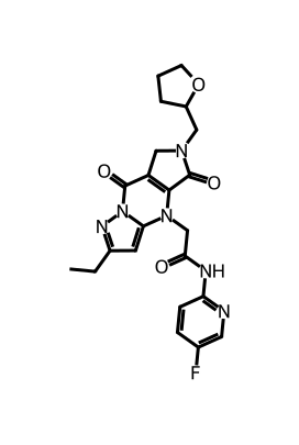 CCc1cc2n(CC(=O)Nc3ccc(F)cn3)c3c(c(=O)n2n1)CN(CC1CCCO1)C3=O